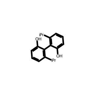 CC(C)c1cccc(O)c1-c1c(O)cccc1C(C)C